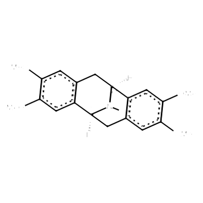 COc1cc2c(cc1OC)[C@@H]1Cc3cc(OC)c(OC)cc3[C@H](C2)N1C